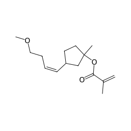 C=C(C)C(=O)OC1(C)CCC(/C=C\CCOC)C1